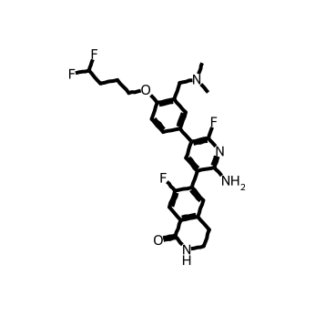 CN(C)Cc1cc(-c2cc(-c3cc4c(cc3F)C(=O)NCC4)c(N)nc2F)ccc1OCCCC(F)F